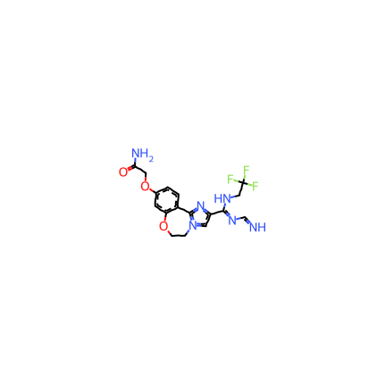 N=C/N=C(\NCC(F)(F)F)c1cn2c(n1)-c1ccc(OCC(N)=O)cc1OCC2